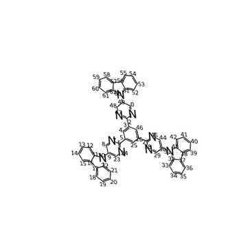 C1=NC(c2cc(-c3ncc(-n4c5ccccc5c5ccccc54)cn3)cc(-c3ncc(-n4c5ccccc5c5ccccc54)cn3)c2)=NCC1n1c2ccccc2c2ccccc21